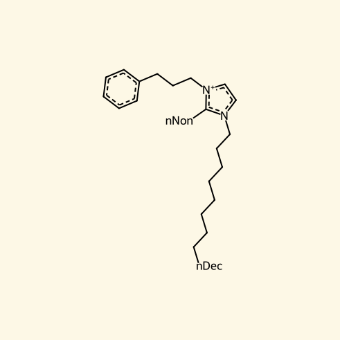 CCCCCCCCCCCCCCCCCCn1cc[n+](CCCc2ccccc2)c1CCCCCCCCC